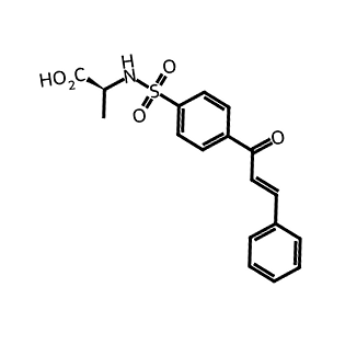 C[C@H](NS(=O)(=O)c1ccc(C(=O)/C=C/c2ccccc2)cc1)C(=O)O